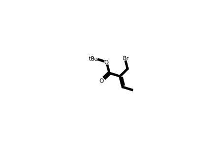 C/C=C(\CBr)C(=O)OC(C)(C)C